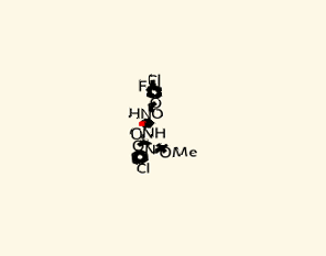 COC(C)(C)CN1C[C@@H](C(=O)NC23CC(NC(=O)COc4ccc(Cl)c(F)c4)(C2)C3)Oc2ccc(Cl)cc21